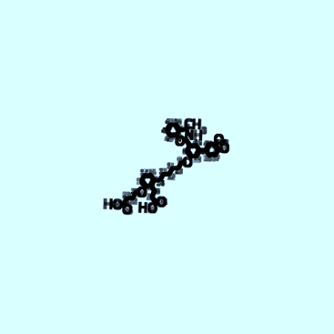 CC(NC(=O)c1cc(OCCCCCCc2cccc(OCCCC(=O)O)c2CCC(=O)O)cc(-c2ccc3c(c2)OCO3)c1)c1ccccc1